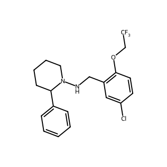 FC(F)(F)COc1ccc(Cl)cc1CNN1CCCCC1c1ccccc1